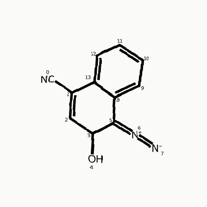 N#CC1=CC(O)C(=[N+]=[N-])c2ccccc21